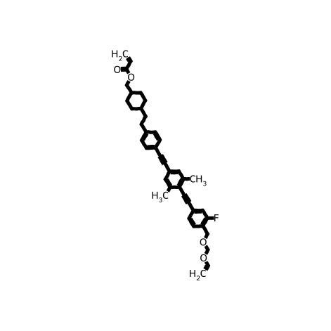 C=COCOCc1ccc(C#Cc2c(C)cc(C#Cc3ccc(CCC4CCC(COC(=O)C=C)CC4)cc3)cc2C)cc1F